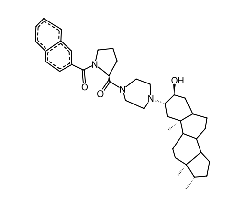 C[C@H]1CCC2C3CCC4C[C@H](O)[C@@H](N5CCN(C(=O)[C@@H]6CCCN6C(=O)c6ccc7ccccc7c6)CC5)C[C@]4(C)C3CC[C@@]21C